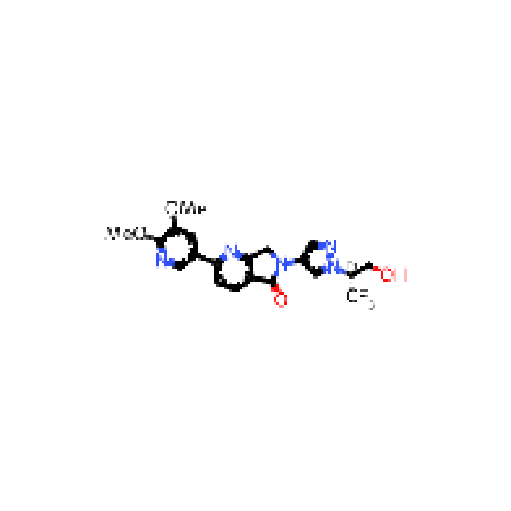 COc1cc(-c2ccc3c(n2)CN(c2cnn([C@H](CO)C(F)(F)F)c2)C3=O)cnc1OC